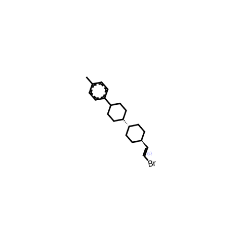 Cc1ccc(C2CCC([C@H]3CC[C@H](/C=C/Br)CC3)CC2)cc1